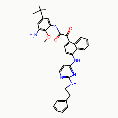 COc1c(N)cc(C(C)(C)C)cc1NC(=O)C(=O)c1ccc(Nc2ccnc(NCCc3ccccc3)n2)c2ccccc12